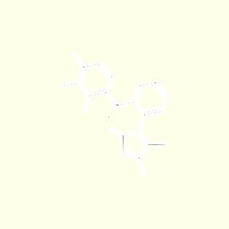 CC1=CC(C)C(c2ccccc2C(=N)c2ccc(C)c(C)c2C)=C1C